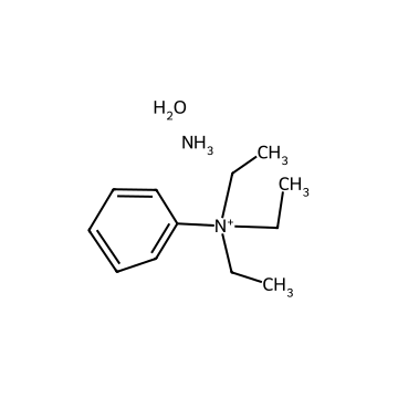 CC[N+](CC)(CC)c1ccccc1.N.O